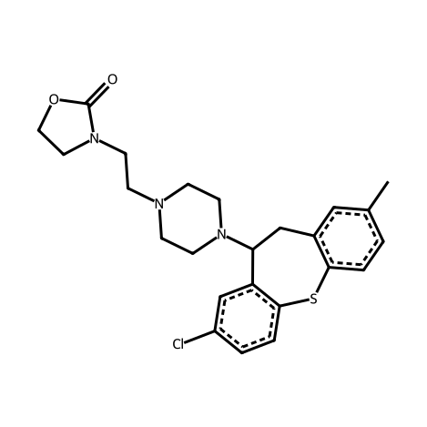 Cc1ccc2c(c1)CC(N1CCN(CCN3CCOC3=O)CC1)c1cc(Cl)ccc1S2